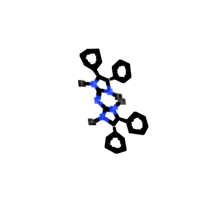 CCN1C(=NC2=[N+](CC)[C@@H](c3ccccc3)[C@H](c3ccccc3)N2CC)N(CC)[C@@H](c2ccccc2)[C@@H]1c1ccccc1